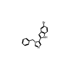 Brc1ccc2[nH]c(-c3cncn3Cc3ccccc3)cc2c1